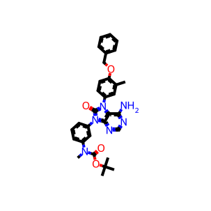 Cc1cc(-n2c(=O)n(-c3cccc(N(C)C(=O)OC(C)(C)C)c3)c3ncnc(N)c32)ccc1OCc1ccccc1